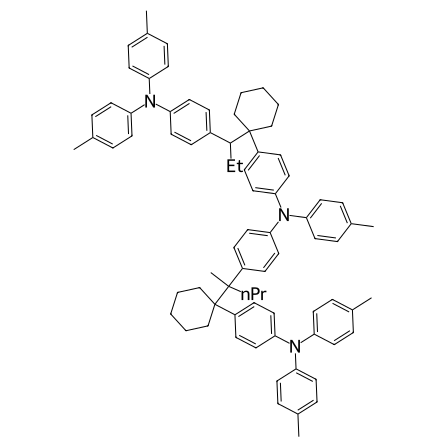 CCCC(C)(c1ccc(N(c2ccc(C)cc2)c2ccc(C3(C(CC)c4ccc(N(c5ccc(C)cc5)c5ccc(C)cc5)cc4)CCCCC3)cc2)cc1)C1(c2ccc(N(c3ccc(C)cc3)c3ccc(C)cc3)cc2)CCCCC1